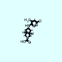 Cc1cc(Cl)nnc1N[C@@H]1C[C@@H]2CN(C(=O)O)C[C@@H]2C1